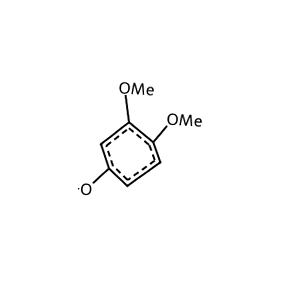 COc1ccc([O])cc1OC